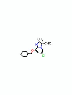 CC1N=C2C(OCC3CCCCC3)=CC(Cl)=CN2C1C=O